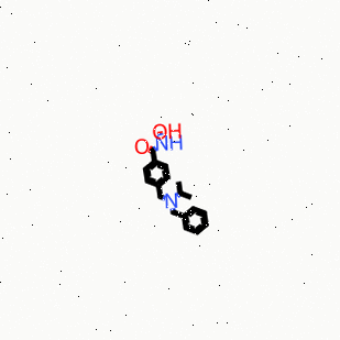 CC(C)N(Cc1ccccc1)Cc1ccc(C(=O)NO)cc1